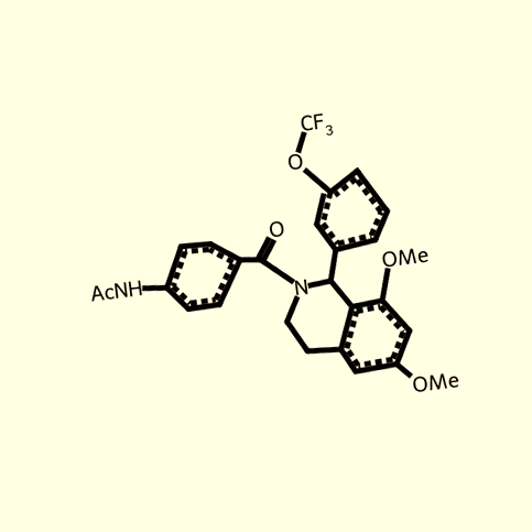 COc1cc2c(c(OC)c1)C(c1cccc(OC(F)(F)F)c1)N(C(=O)c1ccc(NC(C)=O)cc1)CC2